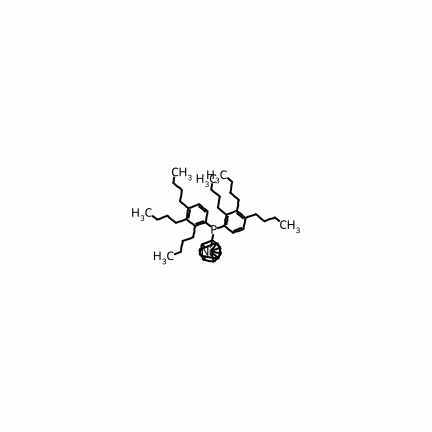 CCCCc1ccc(P(c2ccc(CCCC)c(CCCC)c2CCCC)[C]23[CH]4[CH]5[CH]6[CH]2[Ni]56432789[CH]3[CH]2[CH]7[CH]8[CH]39)c(CCCC)c1CCCC